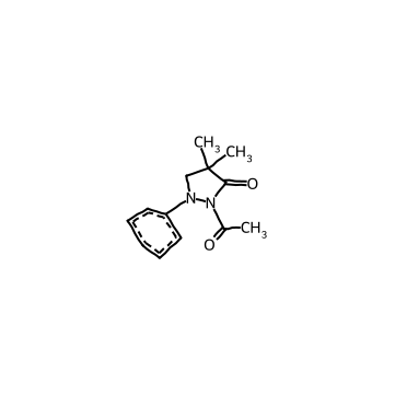 CC(=O)N1C(=O)C(C)(C)CN1c1ccccc1